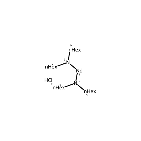 CCCCCC[N](CCCCCC)[Nd][N](CCCCCC)CCCCCC.Cl